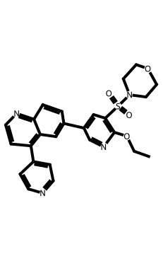 CCOc1ncc(-c2ccc3nccc(-c4ccncc4)c3c2)cc1S(=O)(=O)N1CCOCC1